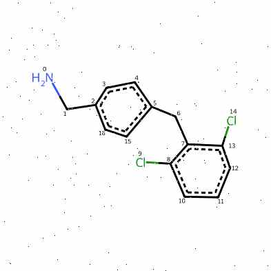 NCc1c[c]c(Cc2c(Cl)cccc2Cl)cc1